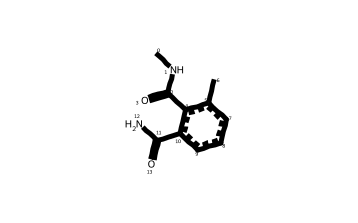 CNC(=O)c1c(C)cccc1C(N)=O